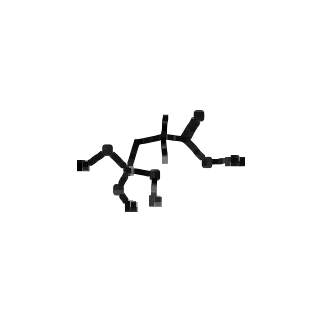 CCCCOC(=O)C(C)(C)C[Si](OCC)(OCC)OCC